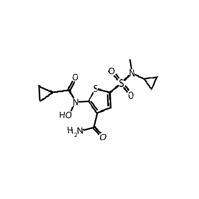 CN(C1CC1)S(=O)(=O)c1cc(C(N)=O)c(N(O)C(=O)C2CC2)s1